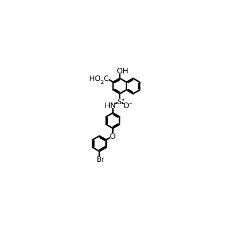 O=C(O)c1cc([S+]([O-])Nc2ccc(Oc3cccc(Br)c3)cc2)c2ccccc2c1O